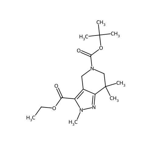 CCOC(=O)c1c2c(nn1C)C(C)(C)CN(C(=O)OC(C)(C)C)C2